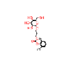 CC(C)c1cccc(C(C)C)c1OC(=O)OCCCOC1OC(CO)C(O)C(O)C1O